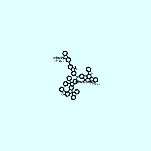 CCCCCCCC1(CCCCCCC)c2ccccc2-c2ccc(-c3ccc4c(c3)C(C)(C)c3cc(N(c5ccc6c(c5)C(CCCCCCC)(CCCCCCC)c5c7c(c8oc9ccccc9c8c5-6)-c5ccccc5C7(CCCCCCC)CCCCCCC)c5ccc6c(c5)C(c5ccccc5)(c5ccccc5)c5cc7c(cc5-6)C(c5ccccc5)(c5ccccc5)c5ccc6oc8ccccc8c6c5-7)ccc3-4)cc21